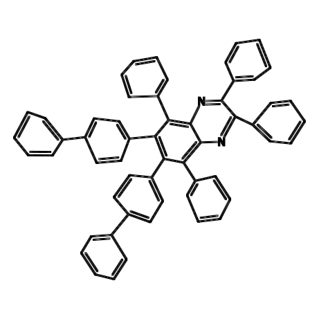 c1ccc(-c2ccc(-c3c(-c4ccc(-c5ccccc5)cc4)c(-c4ccccc4)c4nc(-c5ccccc5)c(-c5ccccc5)nc4c3-c3ccccc3)cc2)cc1